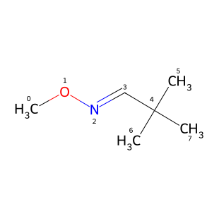 CON=CC(C)(C)C